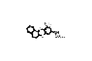 CCOC(=O)Nc1cc2c(c(N)n1)N=C1c3ccccc3CCC1O2